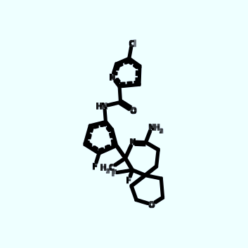 CC1(c2cc(NC(=O)c3ccc(Cl)cn3)ccc2F)N=C(N)CCC2(CCOCC2)C1(F)F